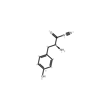 N#[N+]C(=O)[C@@H](N)Cc1ccc(O)cc1